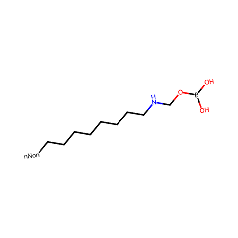 CCCCCCCCCCCCCCCCCNCOB(O)O